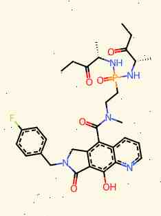 CCC(=O)[C@H](C)NP(=O)(CCN(C)C(=O)c1c2c(c(O)c3ncccc13)C(=O)N(Cc1ccc(F)cc1)C2)N[C@@H](C)C(=O)CC